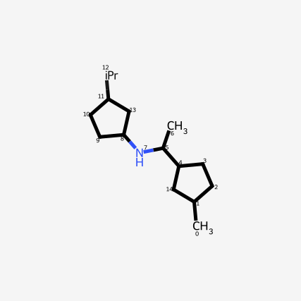 CC1CCC(C(C)NC2CCC(C(C)C)C2)C1